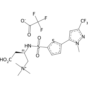 Cn1nc(C(F)(F)F)cc1-c1ccc(S(=O)(=O)N[C@H](CC(=O)O)C[N+](C)(C)C)s1.O=C([O-])C(F)(F)F